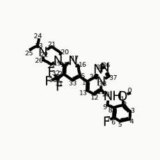 COc1cccc(F)c1CNc1ccc(-c2cnc(N3CCN(C(C)C)CC3)c(C(F)(F)F)c2)c2nncn12